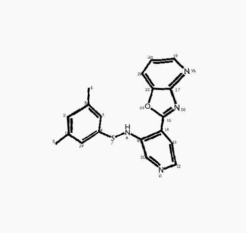 Cc1cc(C)cc(SNc2cnccc2-c2nc3ncccc3o2)c1